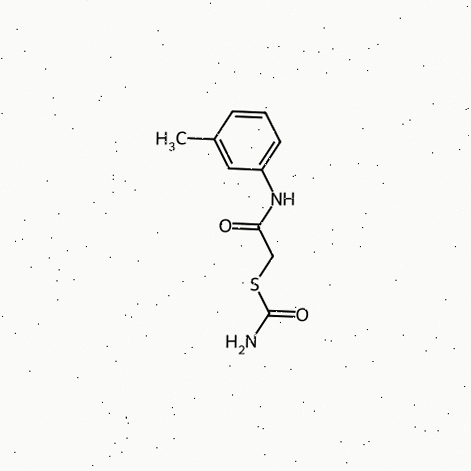 Cc1cccc(NC(=O)CSC(N)=O)c1